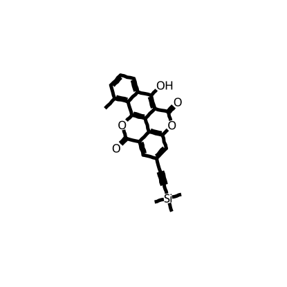 Cc1cccc2c(O)c3c(=O)oc4cc(C#C[Si](C)(C)C)cc5c(=O)oc(c12)c3c45